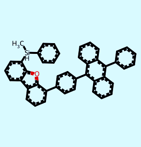 C[SiH](c1ccccc1)c1cccc2c1oc1c(-c3ccc(-c4c5ccccc5c(-c5ccccc5)c5ccccc45)cc3)cccc12